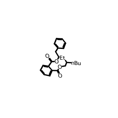 CCCCC(CC)COC(=O)c1ccccc1C(=O)OCCc1ccccc1